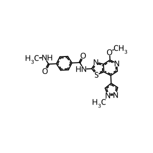 CNC(=O)c1ccc(C(=O)Nc2nc3c(OC)ncc(-c4cnn(C)c4)c3s2)cc1